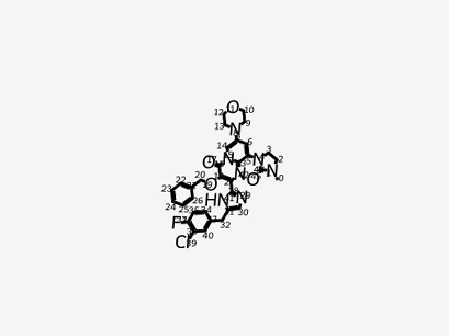 CN1CCN(c2cc(N3CCOCC3)cn3c(=O)c(OCc4ccccc4)c(-c4ncc(Cc5ccc(F)c(Cl)c5)[nH]4)nc23)C1=O